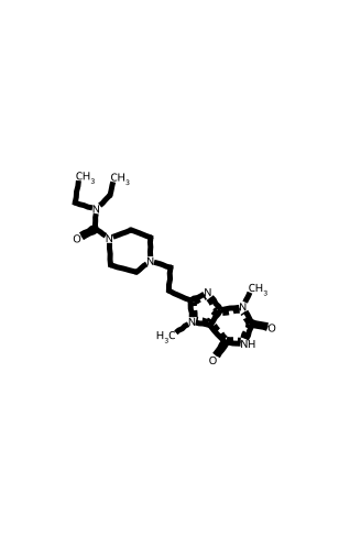 CCN(CC)C(=O)N1CCN(CCc2nc3c(c(=O)[nH]c(=O)n3C)n2C)CC1